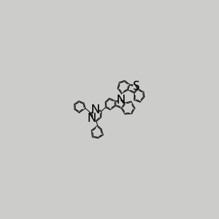 c1ccc(-c2cc(-c3ccc4c(c3)c3ccccc3n4-c3cccc4sc5ccccc5c34)nc(-c3ccccc3)n2)cc1